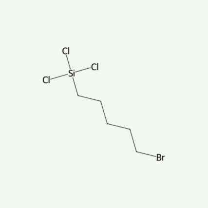 Cl[Si](Cl)(Cl)CCCCCBr